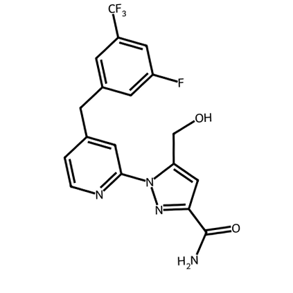 NC(=O)c1cc(CO)n(-c2cc(Cc3cc(F)cc(C(F)(F)F)c3)ccn2)n1